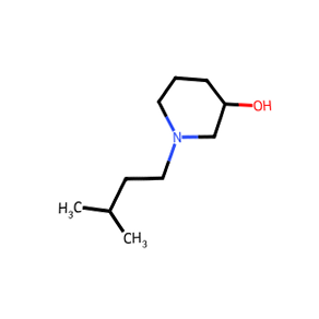 CC(C)CCN1CCCC(O)C1